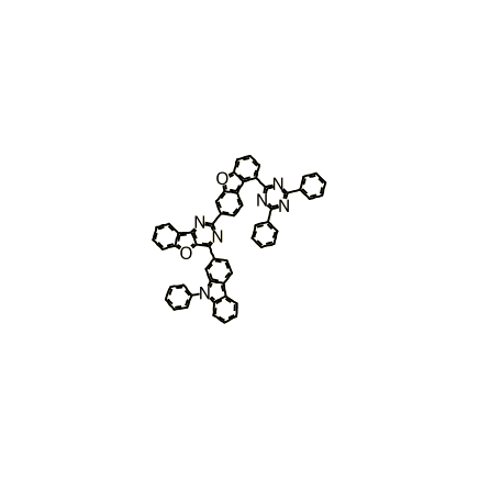 c1ccc(-c2nc(-c3ccccc3)nc(-c3cccc4oc5cc(-c6nc(-c7ccc8c9ccccc9n(-c9ccccc9)c8c7)c7oc8ccccc8c7n6)ccc5c34)n2)cc1